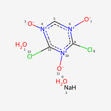 O.O.[NaH].[O-][n+]1c[n+]([O-])c(Cl)[n+]([O-])c1Cl